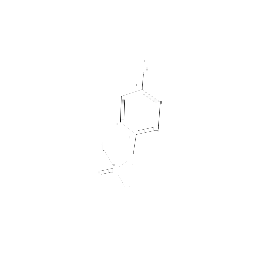 O=P(Cl)(Cl)Oc1ccc(Br)cc1